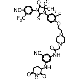 CC1(C)C(=O)N(c2ccc(C#N)c(C(F)(F)F)c2)C(=S)N1c1ccc(OCCN2CCN(CC(=O)Nc3cc(C#N)cc(NC4CCC(=O)NC4=O)c3)CC2)c(F)c1